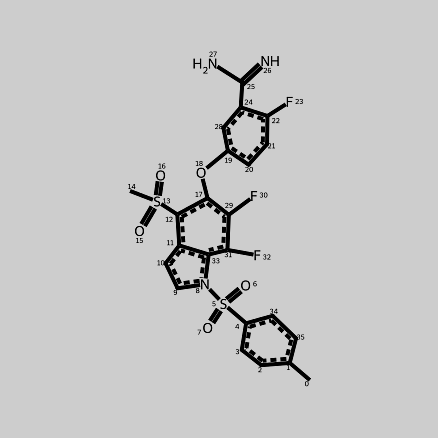 Cc1ccc(S(=O)(=O)n2ccc3c(S(C)(=O)=O)c(Oc4ccc(F)c(C(=N)N)c4)c(F)c(F)c32)cc1